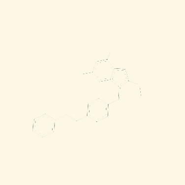 CSc1cc2c(O)cc(I)cc2n1Cc1ccc(CCc2ccccc2)cc1